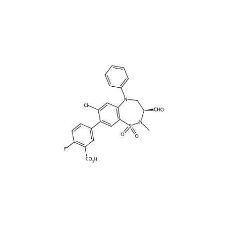 CN1[C@H](C=O)CN(c2ccccc2)c2cc(Cl)c(-c3ccc(F)c(C(=O)O)c3)cc2S1(=O)=O